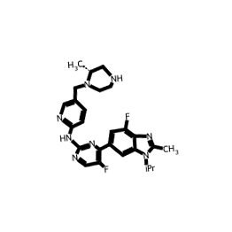 Cc1nc2c(F)cc(-c3nc(Nc4ccc(CN5CCNC[C@H]5C)cn4)ncc3F)cc2n1C(C)C